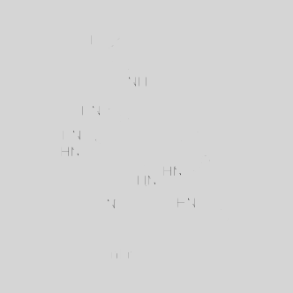 CCC/C=C/CC(NC(C)C(C)C(NC(=O)C1Cc2cccc(C)c2N1)C1CC1)C1CC(C2NNC(NC(=O)C3Cc4c(F)ccc(C)c4N3)S2)CCN1C